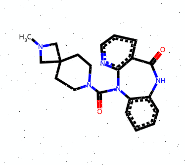 CN1CC2(CCN(C(=O)N3c4ccccc4NC(=O)c4cccnc43)CC2)C1